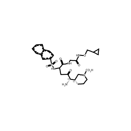 N[C@H](C(=O)CC(NS(=O)(=O)c1ccc2ccccc2c1)C(=O)NCC(=O)NOCC1CC1)[C@H]1CCCN(C(=O)O)C1